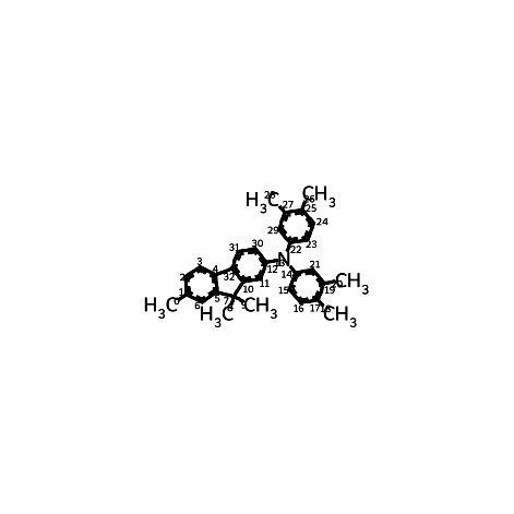 Cc1ccc2c(c1)C(C)(C)c1cc(N(c3ccc(C)c(C)c3)c3ccc(C)c(C)c3)ccc1-2